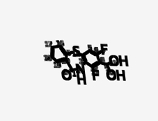 O=C1Nc2c(cc(F)c(C(O)O)c2F)Sc2ccccc21